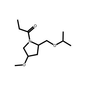 CCC(=O)N1CC(OC)CC1COC(C)C